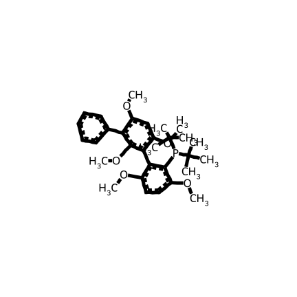 COc1cc(OC)c(-c2c(OC)ccc(OC)c2P(C(C)(C)C)C(C)(C)C)c(OC)c1-c1ccccc1